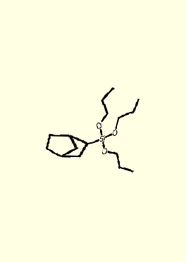 CCCO[Si](OCCC)(OCCC)C1CC2CCC1C2